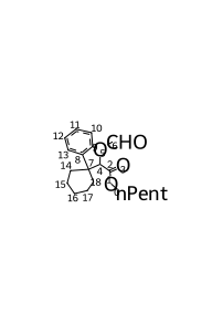 CCCCCOC(=O)C(OC=O)C1(c2ccccc2)CCCCC1